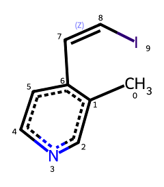 Cc1cnccc1/C=C\I